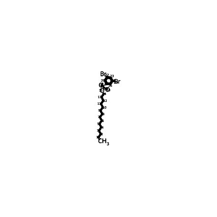 CCCCCCCCCCCCCCCOS(=O)(=O)c1cc(Br)cc(Br)c1